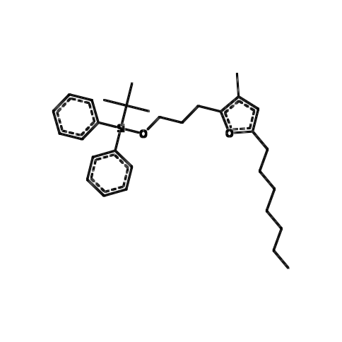 CCCCCCCc1cc(C)c(CCCO[Si](c2ccccc2)(c2ccccc2)C(C)(C)C)o1